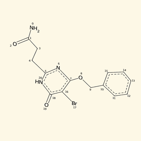 NC(=O)CCc1nc(OCc2ccccc2)c(Br)c(=O)[nH]1